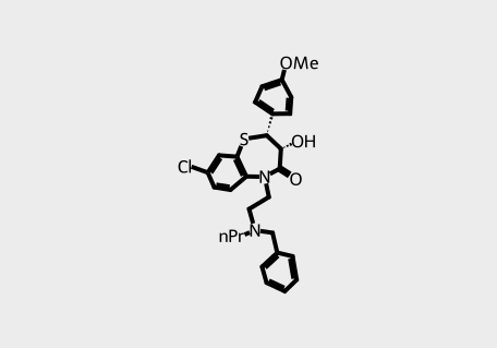 CCCN(CCN1C(=O)[C@@H](O)[C@@H](c2ccc(OC)cc2)Sc2cc(Cl)ccc21)Cc1ccccc1